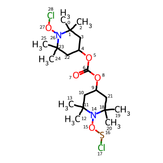 CC1(C)CC(OC(=O)OC2CC(C)(C)N(OSCl)C(C)(C)C2)CC(C)(C)N1OCl